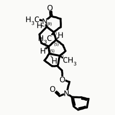 CN1C(=O)CC[C@]2(C)[C@H]3CC[C@]4(C)C(COCN(C=O)c5ccccc5)CC[C@H]4[C@@H]3CC[C@@H]12